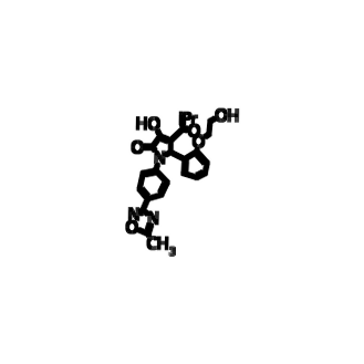 Cc1nc(-c2ccc(N3C(=O)C(O)=C(C(=O)C(C)C)C3c3ccccc3OCCO)cc2)no1